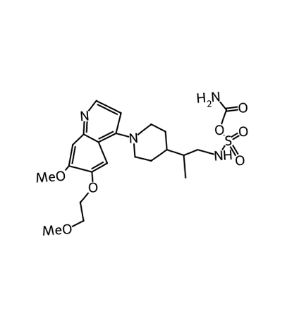 COCCOc1cc2c(N3CCC(C(C)CNS(=O)(=O)OC(N)=O)CC3)ccnc2cc1OC